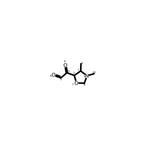 CC1C(C(=O)C=O)OCN1C